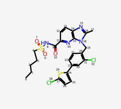 CCCCCS(=O)(=O)NC(=O)c1ccc2nc(C)n(Cc3ccc(-c4ccc(Cl)s4)cc3Cl)c2n1